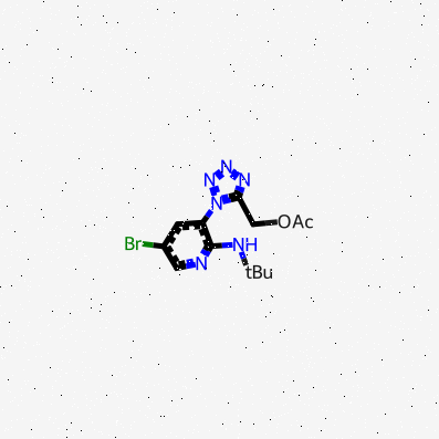 CC(=O)OCc1nnnn1-c1cc(Br)cnc1NC(C)(C)C